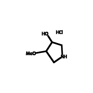 COC1CNCC1O.Cl